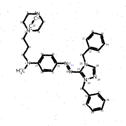 CN(CCC[N+]12CCN(CC1)CC2)c1ccc(/N=N/c2n(Cc3ccccc3)cn[n+]2Cc2ccccc2)cc1